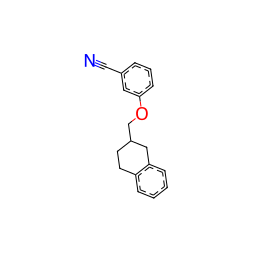 N#Cc1cccc(OCC2CCc3ccccc3C2)c1